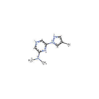 CC(=O)c1cnn(-c2cncc(N(C)C)n2)c1